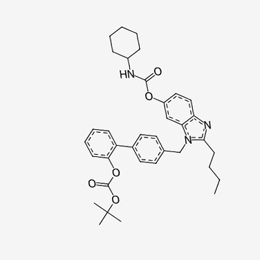 CCCCc1nc2ccc(OC(=O)NC3CCCCC3)cc2n1Cc1ccc(-c2ccccc2OC(=O)OC(C)(C)C)cc1